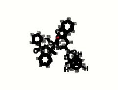 CC(C)(C)N=S(=O)(c1ccccc1)N1CCC[C@@H]1COC(=O)N[C@@H](Cc1coc2ccccc12)B1O[C@@H]2C[C@@H]3C[C@@H](C3(C)C)[C@]2(C)O1